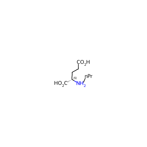 CCCC.N[C@@H](CCC(=O)O)C(=O)O